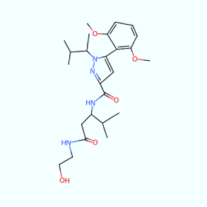 COc1cccc(OC)c1-c1cc(C(=O)NC(CC(=O)NCCO)C(C)C)nn1C(C)C(C)C